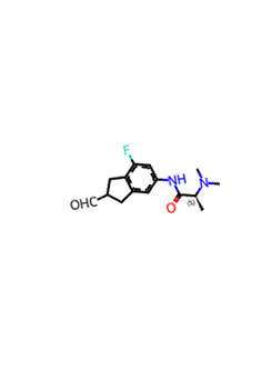 C[C@@H](C(=O)Nc1cc(F)c2c(c1)CC(C=O)C2)N(C)C